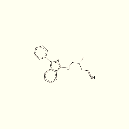 C[C@H](CC=N)COc1nn(-c2ccccc2)c2ccccc12